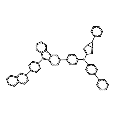 C1=C2C(C=C1N(c1ccc(-c3ccccc3)cc1)c1ccc(-c3ccc4c(c3)c3ccccc3n4-c3ccc(-c4ccc5ccccc5c4)cc3)cc1)C2c1ccccc1